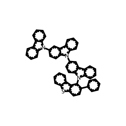 c1ccc(-c2ccc3sc4ccccc4c3c2-n2c3ccccc3c3cc(-n4c5ccccc5c5cc(-n6c7ccccc7c7ccccc76)ccc54)ccc32)cc1